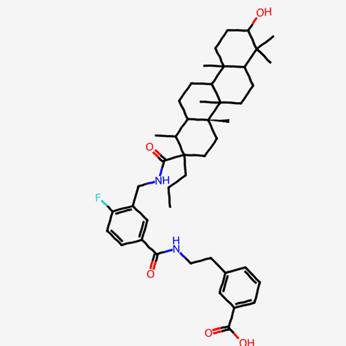 CCCC1(C(=O)NCc2cc(C(=O)NCCc3cccc(C(=O)O)c3)ccc2F)CC[C@]2(C)C(CCC3C4(C)CCC(O)C(C)(C)C4CCC32C)C1C